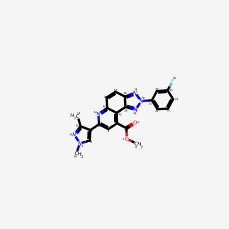 COC(=O)c1cc(-c2cn(C)nc2C)nc2ccc3nn(-c4cccc(F)c4)nc3c12